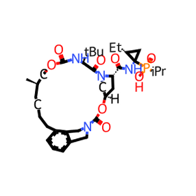 CC[C@@H]1C[C@]1(NC(=O)[C@@H]1C[C@@H]2CN1C(=O)[C@H](C(C)(C)C)NC(=O)OC[C@H](C)CCCCc1cccc3c1CN(C3)C(=O)O2)P(=O)(O)C(C)C